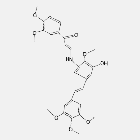 COc1ccc(C(=O)C=CNc2cc(C=Cc3cc(OC)c(OC)c(OC)c3)cc(O)c2OC)cc1OC